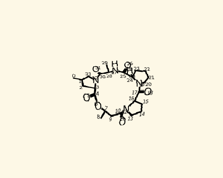 CC1CC2C(=O)OC(C)CC(=O)N3CCCC3C(=O)N3CCCC[C@H]3C(=O)NC(C)C(=O)N2C1